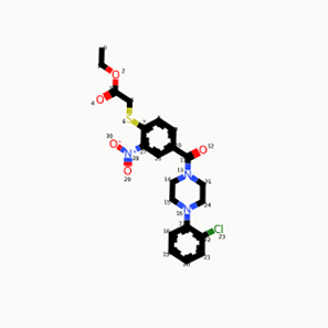 CCOC(=O)CSc1ccc(C(=O)N2CCN(c3ccccc3Cl)CC2)cc1[N+](=O)[O-]